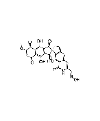 COC1=CC(=O)c2c(O)c3c(c(O)c2C1=O)C(=O)[C@]1(CCc2cc4cc(C=NO)[nH]c(=O)c4c(O)c21)C3=O